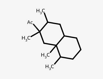 CC(=O)C1(C)CC2(C)C(C)CCCC2CC1C